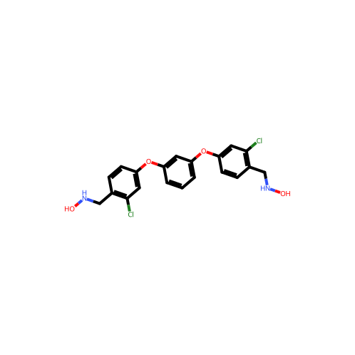 ONCc1ccc(Oc2cccc(Oc3ccc(CNO)c(Cl)c3)c2)cc1Cl